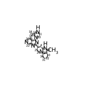 C[C@H](Nc1cc(-c2nc(N3CCNCC3)c3c(C4CC4)cncc3n2)ccn1)c1ccccc1